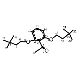 CC(=O)c1c(OCCC(C)(C)C)cccc1OCCC(C)(C)C